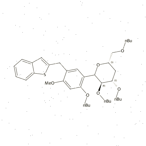 CCCCOC[C@@H]1C[C@H](OCCCC)[C@@H](OCCCC)C(c2cc(Cc3cc4ccccc4s3)c(OC)cc2OCCCC)O1